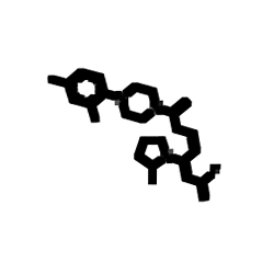 C=C(F)/C=C(\C=C/CC(=C)N1CCN(c2ccc(C)cc2C)CC1)N1CCCC1C